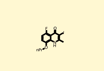 CCCOc1ccc(F)c2c(=O)c(I)c(C)[nH]c12